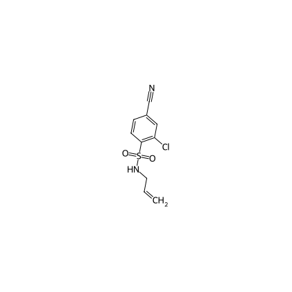 C=CCNS(=O)(=O)c1ccc(C#N)cc1Cl